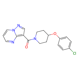 O=C(c1cnn2cccnc12)N1CCC(Oc2ccc(Cl)cc2)CC1